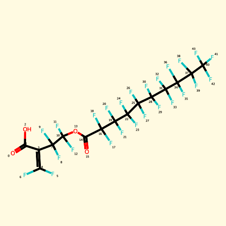 O=C(O)C(=C(F)F)C(F)(F)C(F)(F)OC(=O)C(F)(F)C(F)(F)C(F)(F)C(F)(F)C(F)(F)C(F)(F)C(F)(F)C(F)(F)C(F)(F)F